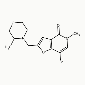 CC1COCCN1Cc1cc2c(=O)n(C)cc(Br)c2o1